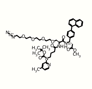 COC(=O)C[C@H](NC(=O)[C@H](COCCOCCOCCOCCN=[N+]=[N-])NC(=O)CCCN(C(=O)OC(C)(C)C)c1cc(C)ccn1)c1ccc(-c2cccc3ccccc23)cc1